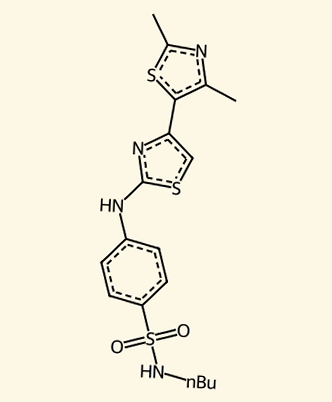 CCCCNS(=O)(=O)c1ccc(Nc2nc(-c3sc(C)nc3C)cs2)cc1